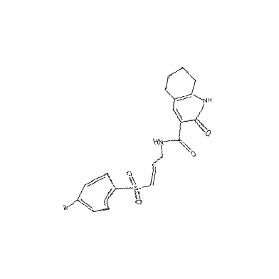 O=C(NC/C=C/S(=O)(=O)c1ccc(Br)cc1)c1cc2c([nH]c1=O)CCCC2